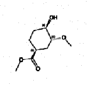 COC(=O)[C@H]1CC[C@@H](O)[C@H](OC)C1